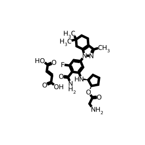 Cc1nn(-c2cc(F)c(C(N)=O)c(N[C@H]3CCC[C@@H]3OC(=O)CN)c2)c2c1CCC(C)(C)C2.O=C(O)C=CC(=O)O